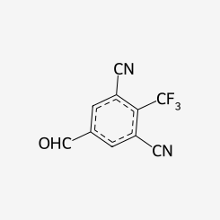 N#Cc1cc(C=O)cc(C#N)c1C(F)(F)F